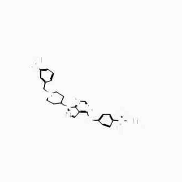 CS(=O)(=O)c1ccc(Oc2ncnc3c2cnn3C2CCN(Cc3cccc(OC(F)(F)F)c3)CC2)cc1